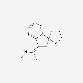 CN/C(C)=C1/CC2(CCCC2)c2ccccc21